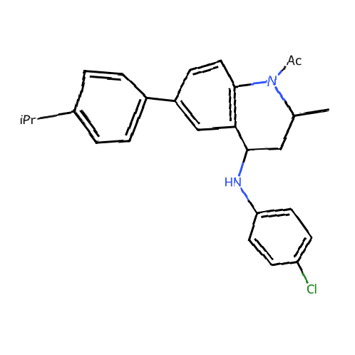 CC(=O)N1c2ccc(-c3ccc(C(C)C)cc3)cc2C(Nc2ccc(Cl)cc2)CC1C